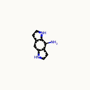 Nc1c2cc[nH]c2cc2cc[nH]c12